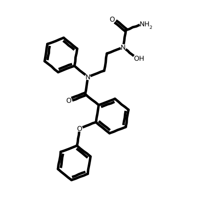 NC(=O)N(O)CCN(C(=O)c1ccccc1Oc1ccccc1)c1ccccc1